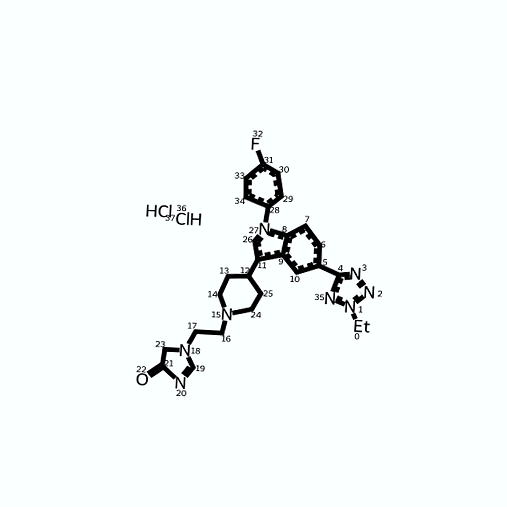 CCn1nnc(-c2ccc3c(c2)c(C2CCN(CCN4C=NC(=O)C4)CC2)cn3-c2ccc(F)cc2)n1.Cl.Cl